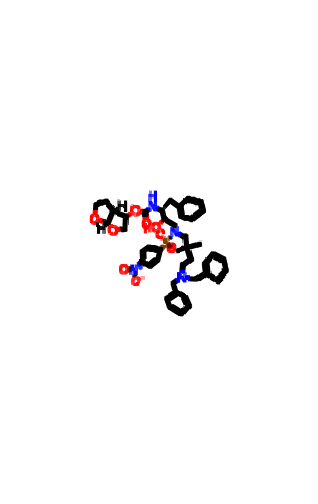 CC(C)(CCN(Cc1ccccc1)Cc1ccccc1)CN(C[C@@H](O)[C@H](Cc1ccccc1)NC(=O)O[C@H]1CO[C@H]2OCC[C@H]21)S(=O)(=O)c1ccc([N+](=O)[O-])cc1